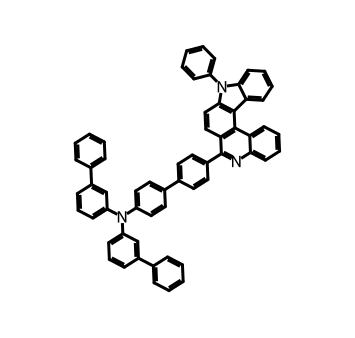 c1ccc(-c2cccc(N(c3ccc(-c4ccc(-c5nc6ccccc6c6c5ccc5c6c6ccccc6n5-c5ccccc5)cc4)cc3)c3cccc(-c4ccccc4)c3)c2)cc1